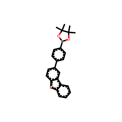 CC1(C)OB(c2ccc(-c3ccc4sc5ccccc5c4c3)cc2)OC1(C)C